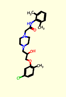 Cc1ccc(Cl)cc1OCC(O)CN1CCN(CC(=O)Nc2c(C)cccc2C)CC1